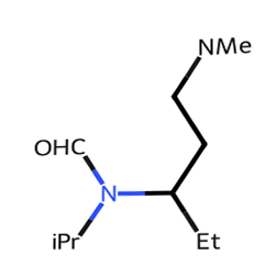 CCC(CCNC)N(C=O)C(C)C